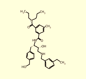 CCCN(CCC)C(=O)c1cc(C)cc(C(=O)N[C@@H](Cc2ccc(CO)cc2)[C@H](O)CNCc2cccc(CC)c2)c1